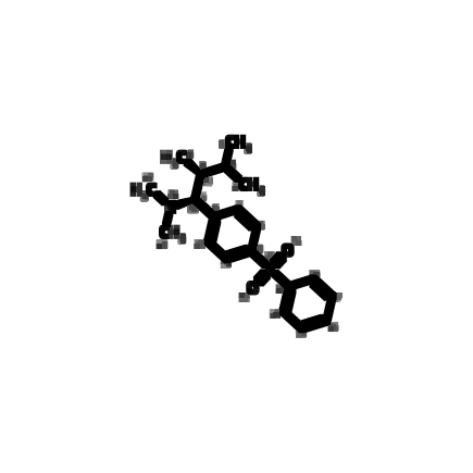 CC(C)[C@H](C)[C@@H](c1ccc(S(=O)(=O)c2ccccc2)cc1)N(C)C